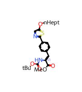 CCCCCCCOc1cnc(-c2ccc(/C=C(\NC(=O)OC(C)(C)C)C(=O)OC)cc2)s1